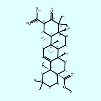 COC(=O)[C@@]12CC[C@@H]3C(=CC[C@@]4(C)[C@@]3(C)CC[C@H]3C(C)(C)C(=O)C(C(=O)O)C[C@@]34C)[C@@H]1CC(C)(C)CC2